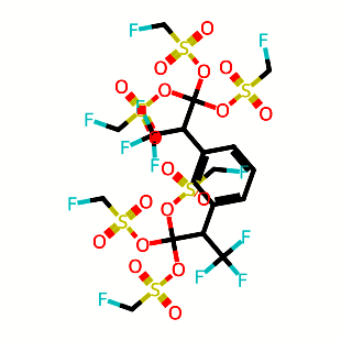 O=S(=O)(CF)OC(OS(=O)(=O)CF)(OS(=O)(=O)CF)C(c1cccc(C(C(F)(F)F)C(OS(=O)(=O)CF)(OS(=O)(=O)CF)OS(=O)(=O)CF)c1)C(F)(F)F